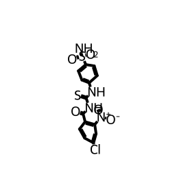 NS(=O)(=O)c1ccc(NC(=S)NC(=O)c2ccc(Cl)cc2[N+](=O)[O-])cc1